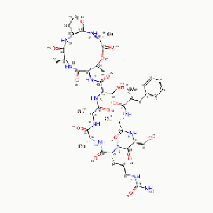 CC[C@H](C)[C@H](NC(=O)[C@@H](Cc1ccccc1)NC)C(=O)N[C@@H](CO)C(=O)N[C@H](CCCNC(N)=O)C(=O)N[C@@H](C(=O)N[C@H](C(=O)N[C@@H](CO)C(=O)N[C@H]1C(=O)N[C@@H](C)C(=O)NC(CC(C)C)C(=O)N[C@@H]([C@@H](C)CC)C(=O)O[C@H]1C)[C@@H](C)CC)[C@@H](C)CC